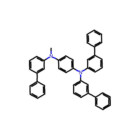 CN(c1ccc(N(c2cccc(C3=CC=C=C=C3)c2)c2cccc(-c3ccccc3)c2)cc1)c1cccc(-c2ccccc2)c1